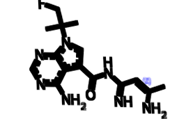 C/C(N)=C/C(=N)NC(=O)c1cn(C(C)(C)CF)c2ncnc(N)c12